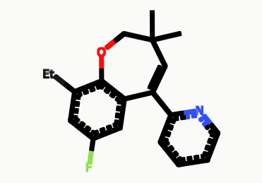 CCc1cc(F)cc2c1OCC(C)(C)C=C2c1ccccn1